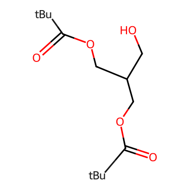 CC(C)(C)C(=O)OCC(CO)COC(=O)C(C)(C)C